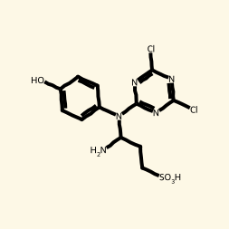 NC(CCS(=O)(=O)O)N(c1ccc(O)cc1)c1nc(Cl)nc(Cl)n1